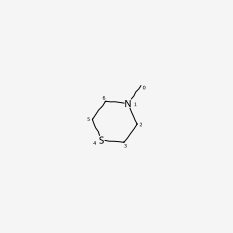 CN1CCSCC1